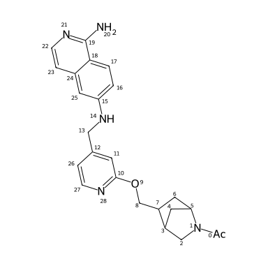 CC(=O)N1CC2CC1CC2COc1cc(CNc2ccc3c(N)nccc3c2)ccn1